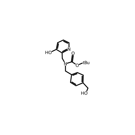 CC(C)(C)OC(=O)N(Cc1ccc(CO)cc1)Cc1ncccc1O